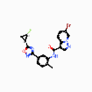 Cc1ccc(-c2noc([C@H]3C[C@@H]3F)n2)cc1NC(=O)c1cnn2cc(Br)ccc12